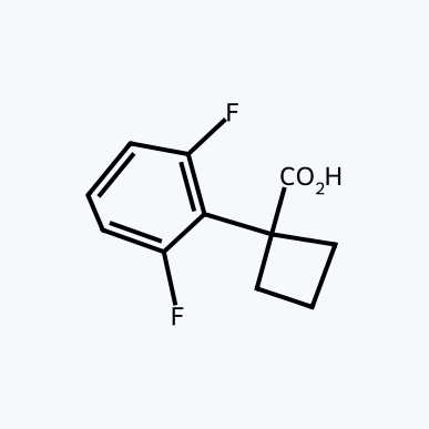 O=C(O)C1(c2c(F)cccc2F)CCC1